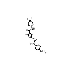 Cc1sc(C2CC2NC2CCC(N)CC2)cc1C(=O)NC1CCC(F)(F)CC1